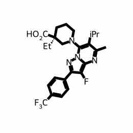 CC[C@]1(C(=O)O)CCCN(c2c(C(C)C)c(C)nc3c(F)c(-c4ccc(C(F)(F)F)cc4)nn23)C1